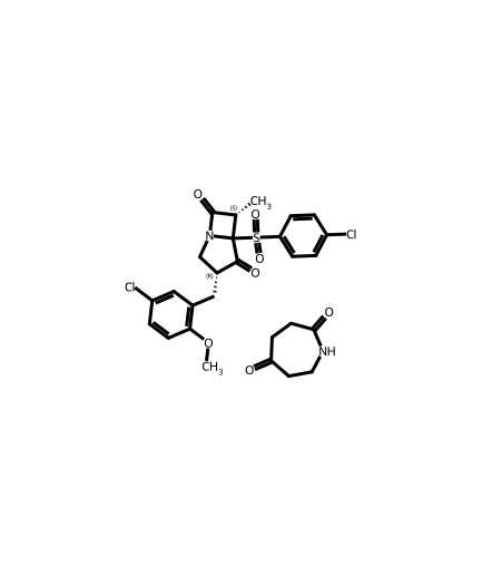 COc1ccc(Cl)cc1C[C@@H]1CN2C(=O)[C@H](C)C2(S(=O)(=O)c2ccc(Cl)cc2)C1=O.O=C1CCNC(=O)CC1